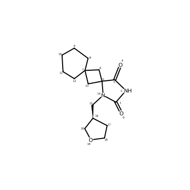 O=C1NC(=O)C2(CC3(CCCCC3)C2)N1C[C@H]1CCOC1